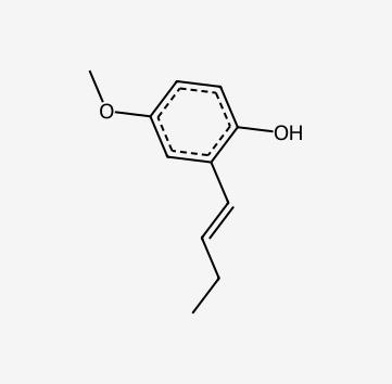 CCC=Cc1cc(OC)ccc1O